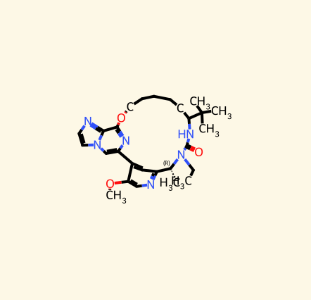 CCN1C(=O)NC(C(C)(C)C)CCCCCOc2nc(cn3ccnc23)-c2cc(ncc2OC)[C@H]1C